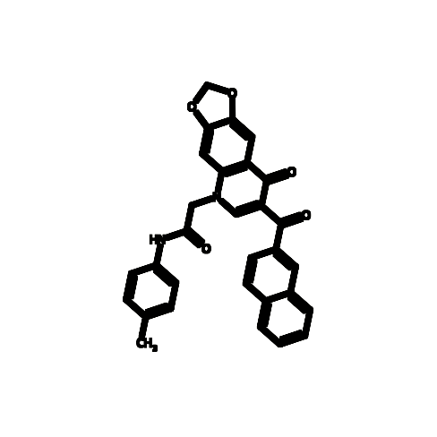 Cc1ccc(NC(=O)Cn2cc(C(=O)c3ccc4ccccc4c3)c(=O)c3cc4c(cc32)OCO4)cc1